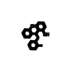 Cc1ccccc1CC(c1ccccc1O)c1ccccc1O